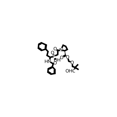 CC(C)(C=O)COCOC(=O)[C@@H]1CCCN1C(=O)CP(=O)(O)C(CCc1ccccc1)NC(=O)c1ccccc1